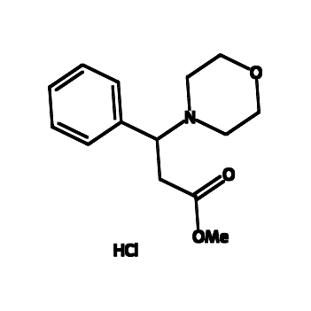 COC(=O)CC(c1ccccc1)N1CCOCC1.Cl